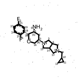 N[C@H]1C[C@@H](N2CC3CN(CC4CC4)CC3C2)CO[C@@H]1c1cc(F)ccc1F